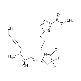 CCC#CCC(C)[C@H](O)C=C[C@H]1CC(F)(F)C(=O)N1CCCc1ccc(C(=O)OC)s1